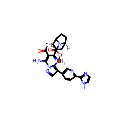 COC(=O)N1C2CC[C@H]1CC(c1nc3c(-c4ccc(-c5ncc[nH]5)nc4)cnn3c(N)c1C(C)=O)C2